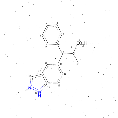 CC(C(=O)O)C(c1ccccc1)c1ccc2[nH]ncc2c1